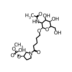 COP(=O)(O)O[C@@H]1CCN(C(=O)CCCCO[C@@H]2OC(CO)[C@H](O)C(O)C2NC(C)=O)C1